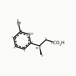 C[C@H](CC(=O)O)c1cccc(Br)n1